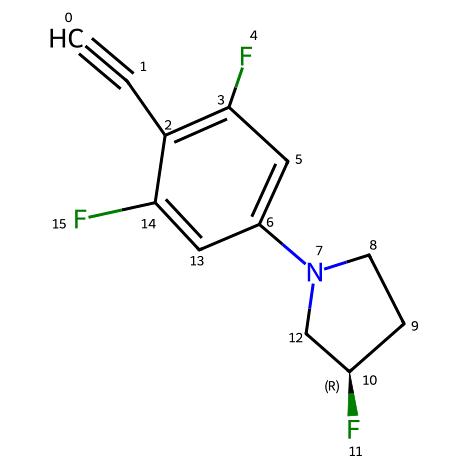 C#Cc1c(F)cc(N2CC[C@@H](F)C2)cc1F